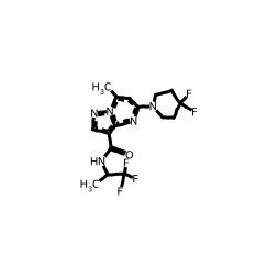 Cc1cc(N2CCC(F)(F)CC2)nc2c(C(=O)NC(C)C(F)(F)F)cnn12